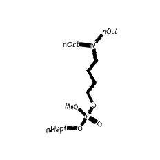 CCCCCCCCN(CCCCCCCC)CCCCOP(=O)(OC)OCCCCCCC